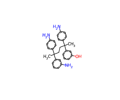 CC(CCC(C)(c1ccc(N)cc1)c1cccc(O)c1)(c1ccc(N)cc1)c1cccc(N)c1